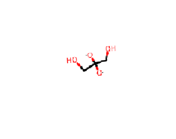 [O]C([O])(CO)CO